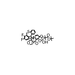 CC(C)(C)OC(=O)C(C)(C)OC(O)Oc1c2n(ccc1=O)N([C@@H]1c3ccccc3SCc3c1ccc(F)c3F)[C@@H]1COCCN1C2=O